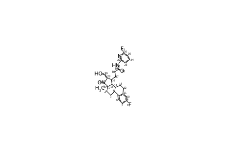 C[C@]12CCC3c4ccc(F)cc4CCC3C1[C@H](CCC(=O)Nc1cccc(F)n1)/C(=C/O)C2=O